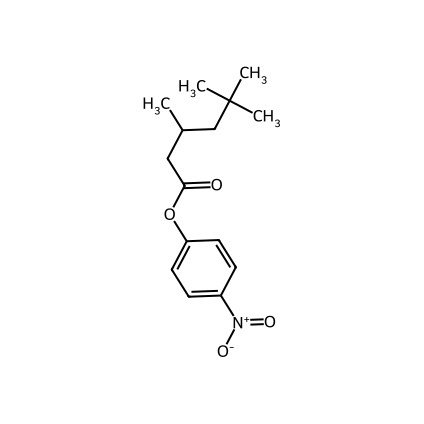 CC(CC(=O)Oc1ccc([N+](=O)[O-])cc1)CC(C)(C)C